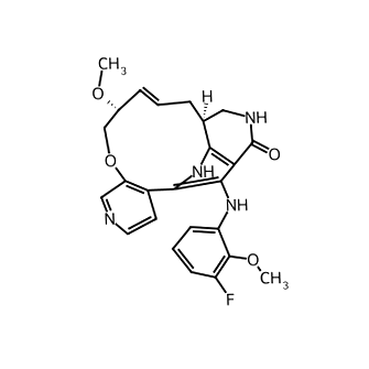 COc1c(F)cccc1Nc1c2[nH]c3c1C(=O)NC[C@@H]3C/C=C/[C@@H](OC)COc1cnccc1-2